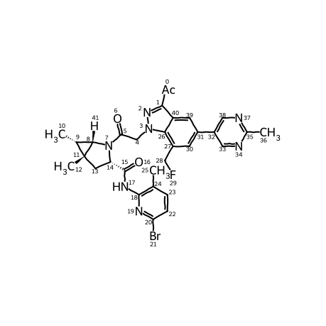 CC(=O)c1nn(CC(=O)N2[C@H]3[C@@H](C)[C@@]3(C)C[C@H]2C(=O)Nc2nc(Br)ccc2C)c2c(CF)cc(-c3cnc(C)nc3)cc12